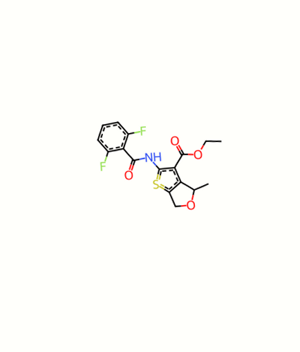 CCOC(=O)c1c(NC(=O)c2c(F)cccc2F)sc2c1C(C)OC2